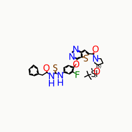 CC(C)(C)[Si](C)(C)O[C@H]1CCN(C(=O)c2cc3ncnc(Oc4ccc(NC(=S)NC(=O)Cc5ccccc5)cc4F)c3s2)C1